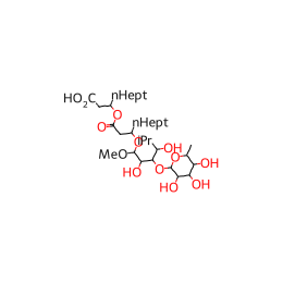 CCCCCCCC(CC(=O)O)OC(=O)CC(CCCCCCC)OC(OC)C(O)C(OC1OC(C)C(O)C(O)C1O)C(O)C(C)C